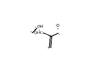 C=C(C)C=O.CO.[O]